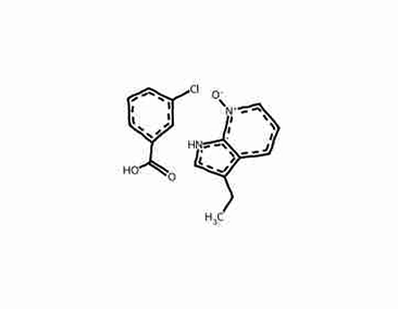 CCc1c[nH]c2c1ccc[n+]2[O-].O=C(O)c1cccc(Cl)c1